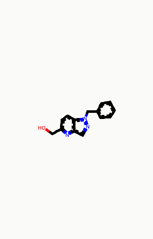 OCc1ccc2c(cnn2Cc2ccccc2)n1